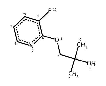 CC(C)(O)COc1ncc[c]c1F